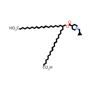 O=C(O)CCCCCCCC=CCC=CCCCCCCC(CCCCCCC=CCC=CCCCCCCCC(=O)O)COC(=O)C1CCN(CC2CC2)CC1